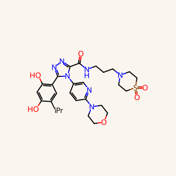 CC(C)c1cc(-c2nnc(C(=O)NCCCN3CCS(=O)(=O)CC3)n2-c2ccc(N3CCOCC3)nc2)c(O)cc1O